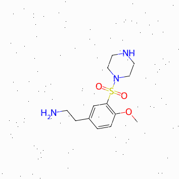 COc1ccc(CCN)cc1S(=O)(=O)N1CCNCC1